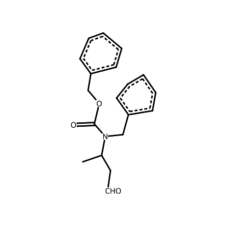 CC(CC=O)N(Cc1ccccc1)C(=O)OCc1ccccc1